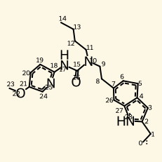 [CH]Cc1cc2ccc(CCN(CCCC)C(=O)Nc3ccc(OC)cn3)cc2[nH]1